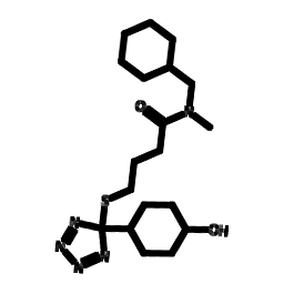 CN(CC1CCCCC1)C(=O)CCCSC1(C2CCC(O)CC2)N=NN=N1